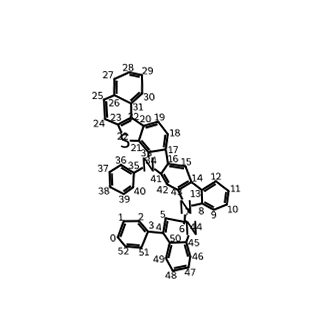 c1ccc(-c2cc(-n3c4ccccc4c4cc5c6ccc7c(sc8ccc9ccccc9c87)c6n(-c6ccccc6)c5cc43)nc3ccccc23)cc1